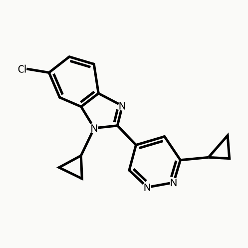 Clc1ccc2nc(-c3cnnc(C4CC4)c3)n(C3CC3)c2c1